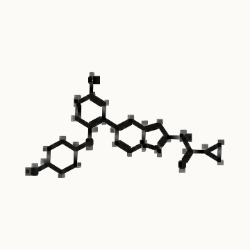 N#Cc1cc(-c2ccn3nc(NC(=O)C4CC4)cc3c2)c(OC2CCC(O)CC2)cn1